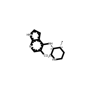 CCOC(=O)c1cnc2[nH]ccc2c1N[C@H]1CNCC[C@H]1C